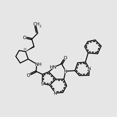 C=CC(=O)C[C@@H]1CCCC1NC(=O)c1sc2nccc3c2c1NC(=O)N3c1ccnc(-c2ccccc2)c1